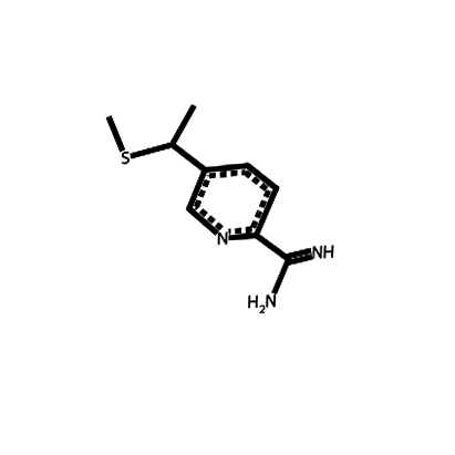 CSC(C)c1ccc(C(=N)N)nc1